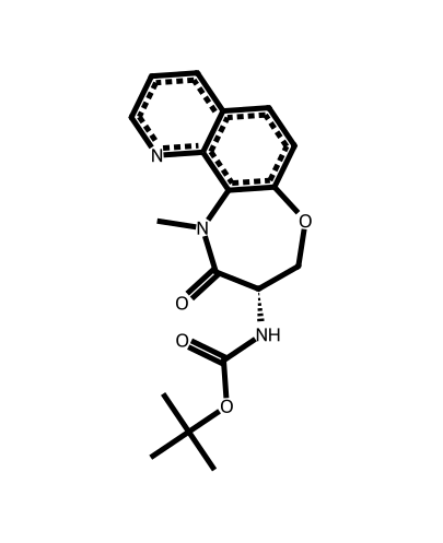 CN1C(=O)[C@@H](NC(=O)OC(C)(C)C)COc2ccc3cccnc3c21